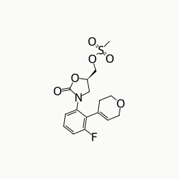 CS(=O)(=O)OC[C@H]1CN(c2cccc(F)c2C2=CCOCC2)C(=O)O1